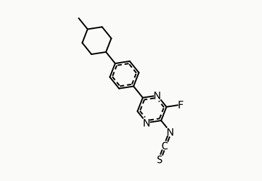 CC1CCC(c2ccc(-c3cnc(N=C=S)c(F)n3)cc2)CC1